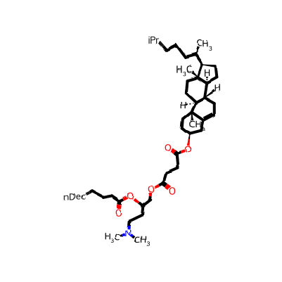 CCCCCCCCCCCCCC(=O)OC(CCN(C)C)COC(=O)CCC(=O)O[C@H]1CC[C@@]2(C)C(=CC[C@H]3[C@@H]4CC[C@H]([C@H](C)CCCC(C)C)[C@@]4(C)CC[C@@H]32)C1